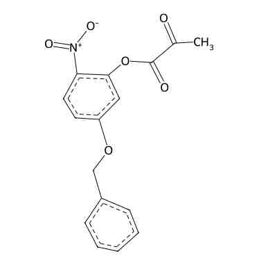 CC(=O)C(=O)Oc1cc(OCc2ccccc2)ccc1[N+](=O)[O-]